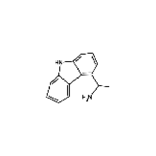 CC(N)c1cccc2[nH]c3ccccc3c12